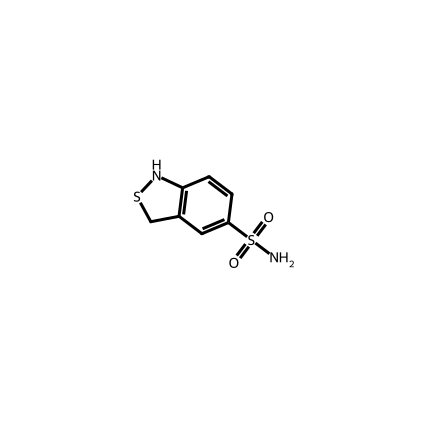 NS(=O)(=O)c1ccc2c(c1)CSN2